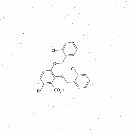 O=C(O)c1c(Br)ccc(OCc2ccccc2Cl)c1OCc1ccccc1Cl